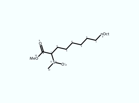 CCCCCCCCCCCCCCC(C(=O)OC)[S+](C)[O-]